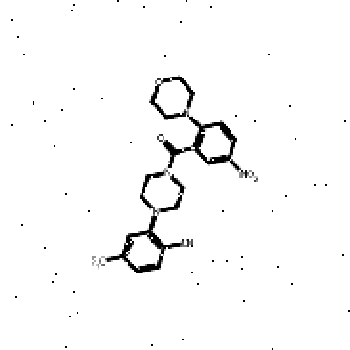 N#Cc1ccc(C(F)(F)F)cc1N1CCN(C(=O)c2cc([N+](=O)[O-])ccc2N2CCOCC2)CC1